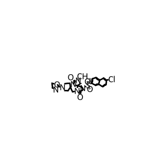 CN1CC23CN(S(=O)(=O)c4ccc5cc(Cl)ccc5c4)CC(=O)N2CC2(CCN(C4=NCCO4)CC2)N3C1=O